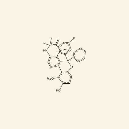 C=C1C(C)c2c(ccc3c2C(c2ccccc2)(c2cc(F)cc(F)c2)Oc2ccc(O)c(OC)c2-3)NC1(C)C